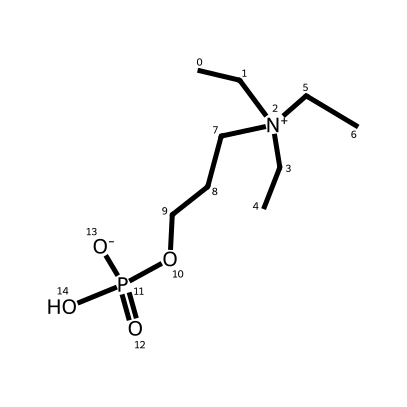 CC[N+](CC)(CC)CCCOP(=O)([O-])O